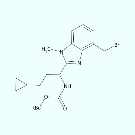 Cn1c(C(CCC2CC2)NC(=O)OC(C)(C)C)nc2c(CBr)cccc21